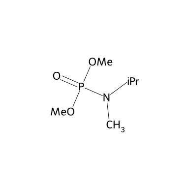 COP(=O)(OC)N(C)C(C)C